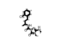 CNc1nn(C(=O)NC(C)CCc2ccccc2Cl)c(=O)n1C